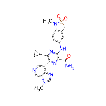 CN1c2ccc(Nc3nc(C4CC4)c(-c4cncc5c4ncn5C)nc3C(N)=O)cc2CS1(=O)=O